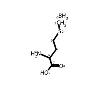 B.CSCCC(N)C(=O)O